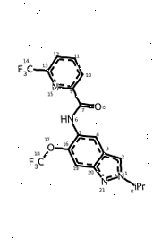 CC(C)n1cc2cc(NC(=O)c3cccc(C(F)(F)F)n3)c(OC(F)(F)F)cc2n1